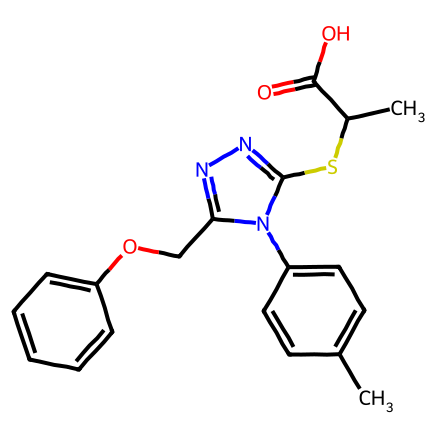 Cc1ccc(-n2c(COc3ccccc3)nnc2SC(C)C(=O)O)cc1